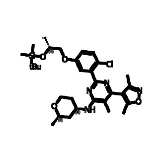 [CH2][C@H](COc1ccc(Cl)c(-c2nc(N[C@@H]3CCO[C@H](C)C3)c(C)c(-c3c(C)noc3C)n2)c1)O[Si](C)(C)C(C)(C)C